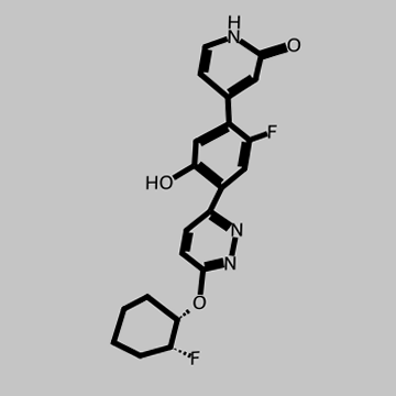 O=c1cc(-c2cc(O)c(-c3ccc(O[C@H]4CCCC[C@H]4F)nn3)cc2F)cc[nH]1